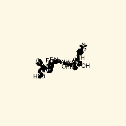 CNC(=O)N1CCc2c(c(N3CCCc4cc(-c5cnn(CCNC(=O)CCC(=O)N[C@H](C(=O)N6C[C@H](O)C[C@H]6C(=O)NCc6ccc(-c7scnc7C)cc6)C(C)(C)C)c5)c(C(F)F)cc43)nn2C2CCOCC2)C1